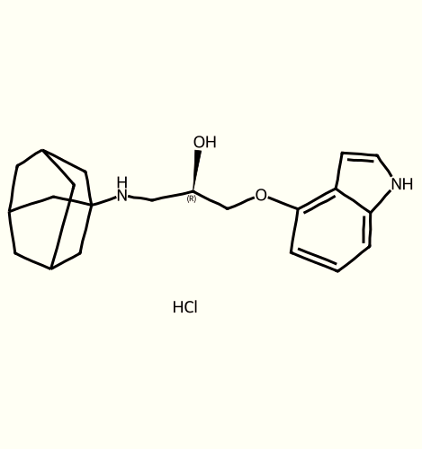 Cl.O[C@H](CNC12CC3CC(CC(C3)C1)C2)COc1cccc2[nH]ccc12